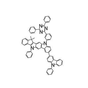 CC1(C)c2ccccc2-c2c1c1cc3c(cc1n2-c1ccccc1)c1cc(-c2ccc4c(c2)c2ccccc2n4-c2ccccc2)ccc1n3-c1cccc(-c2nc(-c3ccccc3)nc(-c3ccccc3)n2)c1